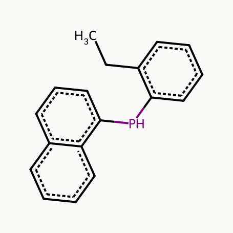 CCc1ccccc1Pc1cccc2ccccc12